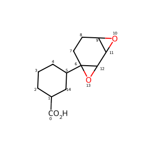 O=C(O)C1CCCC(C23CCC4OC4C2O3)C1